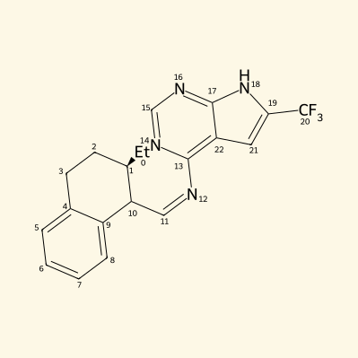 CC[C@@H]1CCc2ccccc2C1/C=N\c1ncnc2[nH]c(C(F)(F)F)cc12